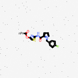 CCCC(=O)Oc1csc(NC(=O)c2cccn2Cc2ccc(F)cc2)n1